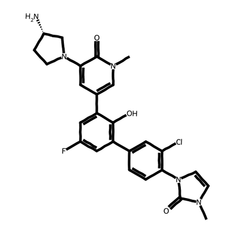 Cn1cc(-c2cc(F)cc(-c3ccc(-n4ccn(C)c4=O)c(Cl)c3)c2O)cc(N2CC[C@H](N)C2)c1=O